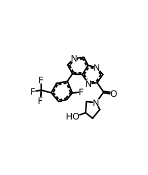 O=C(c1cnc2cncc(-c3cc(C(F)(F)F)ccc3F)c2n1)N1CCC(O)C1